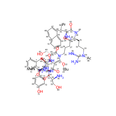 CNCC(=O)N[C@@H](Cc1ccccc1)C(=O)C(C(=O)[C@H](C)N)=C(OC(C)(C)C)N(CCCC(=O)[C@H](CCCN(C(=N)N)C(C)=O)N(C)C(=O)[C@@H](N)C(c1cccc2ccccc12)C(C)C)C(=O)[C@@H](CO)NC(=O)[C@H](Cc1ccc(O)cc1)NC(=O)[C@@H](N)CO